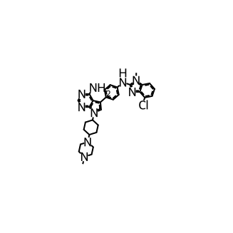 CN1CCN(C2CCC(n3cc(-c4ccc(Nc5nc6c(Cl)cccc6n5C)cc4)c4c(N)ncnc43)CC2)CC1